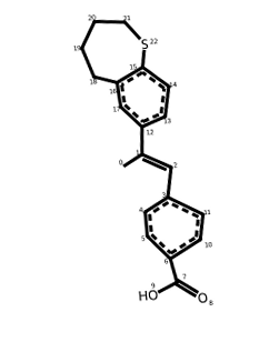 CC(=Cc1ccc(C(=O)O)cc1)c1ccc2c(c1)CCCCS2